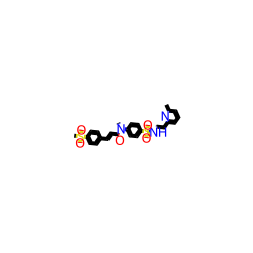 Cc1cccc(CCNS(=O)(=O)c2ccc(N(C)C(=O)C=Cc3ccc(S(C)(=O)=O)cc3)cc2)n1